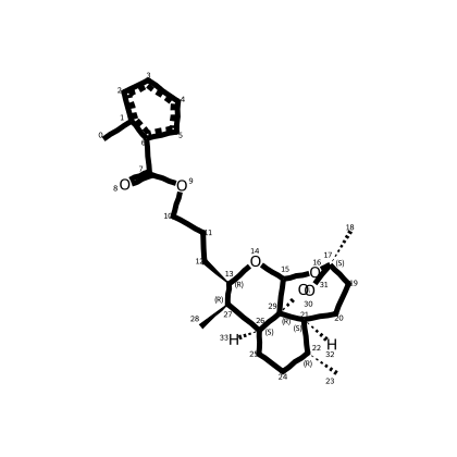 Cc1ccccc1C(=O)OCCC[C@H]1OC2O[C@]3(C)CC[C@H]4[C@H](C)CC[C@@H]([C@H]1C)[C@@]24OO3